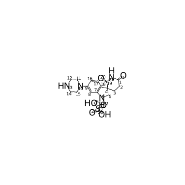 O=C1CCC2(CNc3cc(N4CCNCC4)ccc32)C(=O)N1.O=S(=O)(O)O